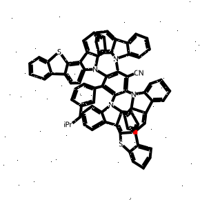 CC(C)Cc1cccc(-c2c(-n3c4ccccc4c4c5sc6ccccc6c5ccc43)c(-n3c4ccccc4c4ccccc43)c(C#N)c(-n3c4ccccc4c4ccccc43)c2-n2c3ccccc3c3c4sc5ccccc5c4ccc32)c1